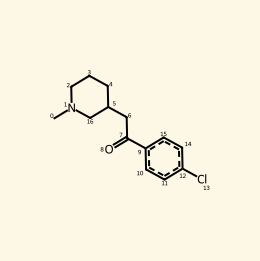 CN1CCCC(CC(=O)c2ccc(Cl)cc2)C1